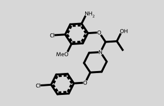 COc1cc(OC(C(C)O)N2CCC(Oc3ccc(Cl)cc3)CC2)c(N)cc1Cl